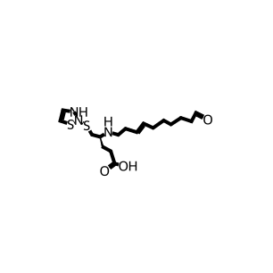 O=CCCCCC/C=C/CCN[C@@H](CCC(=O)O)CSN1NC=CS1